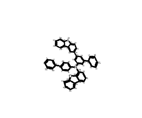 c1ccc(-c2ccc(N(c3cc(-c4ccccc4)cc(-c4ccc5sc6ccccc6c5c4)c3)c3cccc4c3oc3ccccc34)cc2)cc1